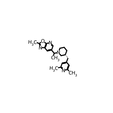 Cc1cc(C[C@H]2CCCN(C(C)c3cnc4oc(C)nc4c3)C2)cc(C)n1